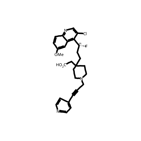 COc1ccc2ncc(Cl)c([C@H](F)CCC3(CC(=O)O)CCN(CC#Cc4ccncc4)CC3)c2c1